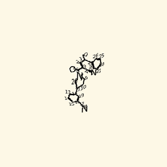 CC(/C=C(\C#N)C(=O)N1CCC(c2cccc(C#N)c2)C1)c1ccccc1